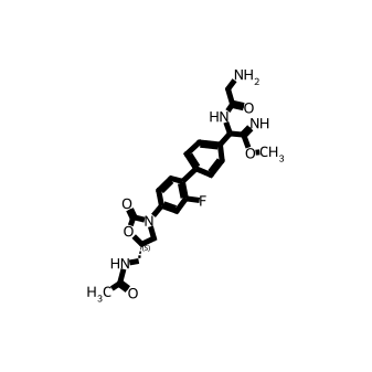 COC(=N)C(NC(=O)CN)c1ccc(-c2ccc(N3C[C@H](CNC(C)=O)OC3=O)cc2F)cc1